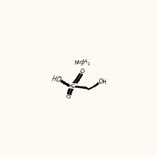 O=S(=O)(O)CO.[MgH2]